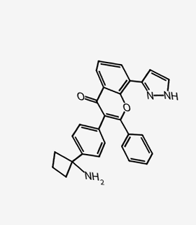 NC1(c2ccc(-c3c(-c4ccccc4)oc4c(-c5cc[nH]n5)cccc4c3=O)cc2)CCC1